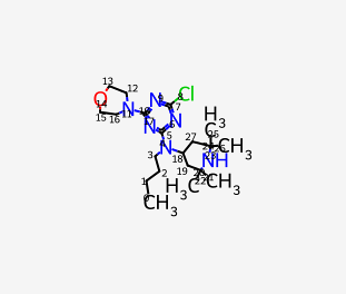 CCCCN(c1nc(Cl)nc(N2CCOCC2)n1)C1CC(C)(C)NC(C)(C)C1